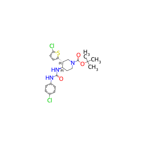 CC(C)(C)OC(=O)N1CC[C@@H](NC(=O)Nc2ccc(Cl)cc2)[C@H](c2ccc(Cl)s2)C1